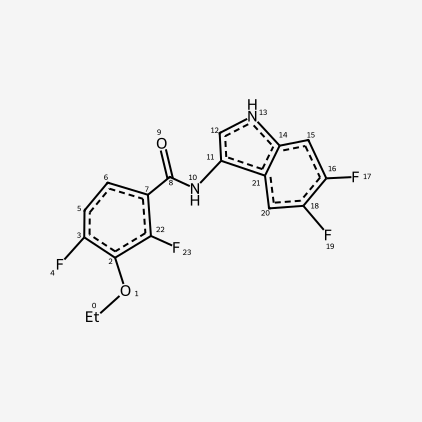 CCOc1c(F)ccc(C(=O)Nc2c[nH]c3cc(F)c(F)cc23)c1F